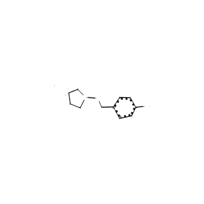 Cc1ccc(CON2CC[C@H](O)C2)cc1